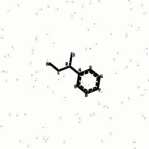 [CH2]CC([CH2])c1ccccc1